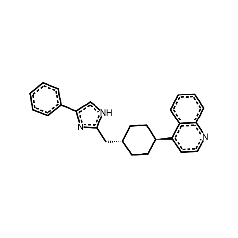 c1ccc(-c2c[nH]c(C[C@H]3CC[C@H](c4ccnc5ccccc54)CC3)n2)cc1